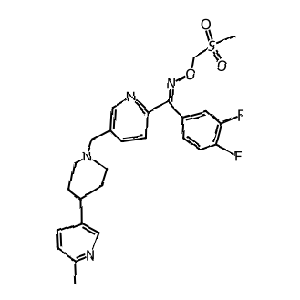 Cc1ccc(C2CCN(Cc3ccc(C(=NOCS(C)(=O)=O)c4ccc(F)c(F)c4)nc3)CC2)cn1